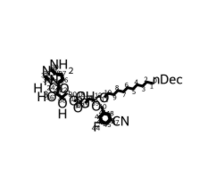 CCCCCCCCCCCCCCCCCCCCOC[C@H](COP(=O)(O)OC[C@H]1O[C@@](C)(c2ccc3c(N)ncnn23)[C@H](O)[C@@H]1O)OCc1cc(F)cc(C#N)c1